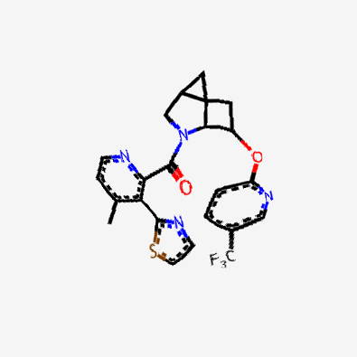 Cc1ccnc(C(=O)N2CC3CC34CC(Oc3ccc(C(F)(F)F)cn3)C24)c1-c1nccs1